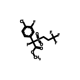 COC(=O)C(F)(c1ccc(Cl)c(F)c1)S(=O)(=O)CCC(F)(F)F